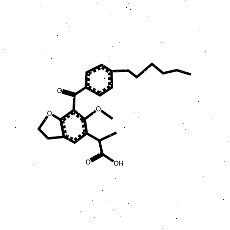 CCCCCCc1ccc(C(=O)c2c3c(cc(C(C)C(=O)O)c2OC)CCO3)cc1